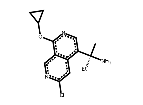 CC[C@](C)(N)c1cnc(OC2CC2)c2cnc(Cl)cc12